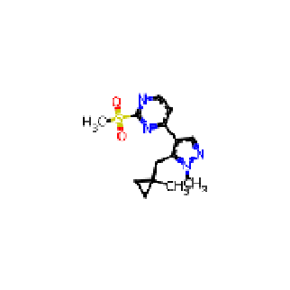 Cn1ncc(-c2ccnc(S(C)(=O)=O)n2)c1CC1(C)CC1